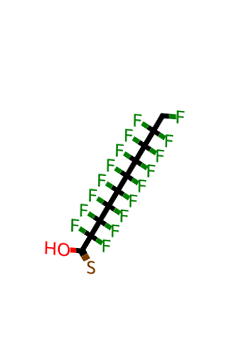 OC(=S)C(F)(F)C(F)(F)C(F)(F)C(F)(F)C(F)(F)C(F)(F)C(F)(F)C(F)(F)CF